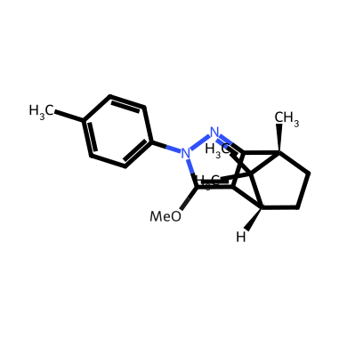 COc1c2c(nn1-c1ccc(C)cc1)[C@]1(C)CC[C@H]2C1(C)C